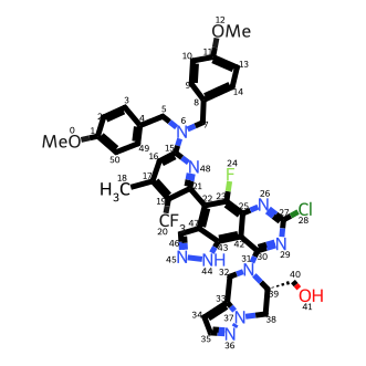 COc1ccc(CN(Cc2ccc(OC)cc2)c2cc(C)c(C(F)(F)F)c(-c3c(F)c4nc(Cl)nc(N5Cc6ccnn6C[C@H]5CO)c4c4[nH]ncc34)n2)cc1